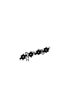 Cc1ccc(C(=O)Nc2ccc(/N=C/c3ccc(OC(=O)c4ccc(C)cc4)cc3)cc2)cc1